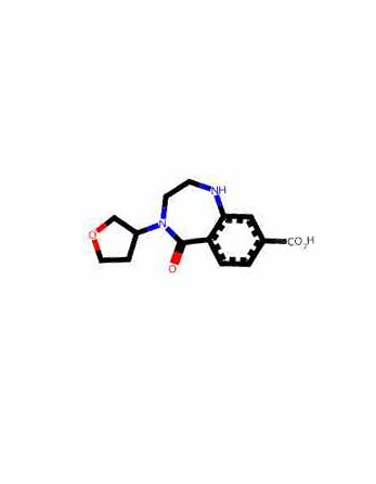 O=C(O)c1ccc2c(c1)NCCN(C1CCOC1)C2=O